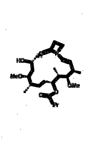 CO[C@@H]([C@@H](C)[C@@H](CC[C@H](C)[C@H](C[C@H](O)C(C)C)OC)OC(=O)C(C)C)[C@H](C)/C=C/N1CCC1=O